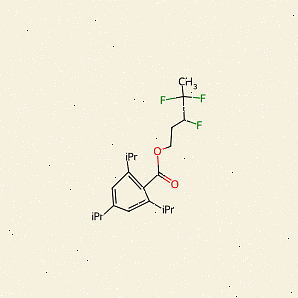 CC(C)c1cc(C(C)C)c(C(=O)OCCC(F)C(C)(F)F)c(C(C)C)c1